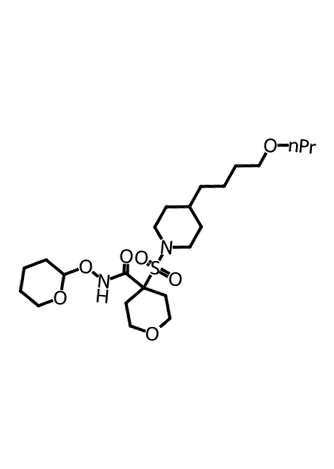 CCCOCCCCC1CCN(S(=O)(=O)C2(C(=O)NOC3CCCCO3)CCOCC2)CC1